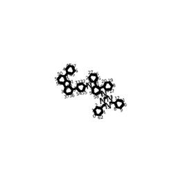 c1ccc(-c2nc(-c3ccccc3)nc(-n3c4ccccc4c4c5c6ccccc6n(-c6ccc(-c7cccc8c7Cc7c(-c9ccccc9)cccc7-8)cc6)c5ccc43)n2)cc1